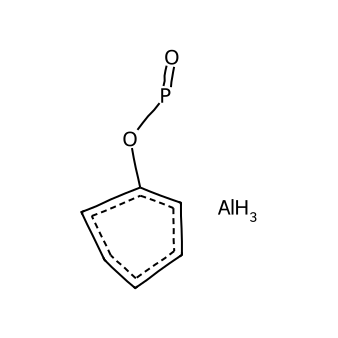 O=POc1ccccc1.[AlH3]